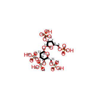 O=S(=O)(O)OC[C@@H]1C[C@H](OS(=O)(=O)O)[C@H](O[C@@H]2C[C@@H](OS(=O)(=O)O)[C@H](OS(=O)(=O)O)[C@@H](COS(=O)(=O)O)O2)O1